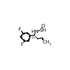 C=CC[C@H](N[SH]=O)c1cc(F)cc(F)c1